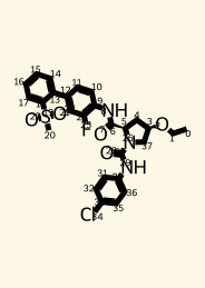 CCO[C@@H]1C[C@H](C(=O)Nc2ccc(-c3ccccc3S(C)(=O)=O)cc2F)N(C(=O)Nc2ccc(Cl)cc2)C1